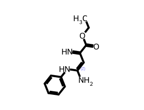 CCOC(=O)C(=N)/C=C(/N)Nc1ccccc1